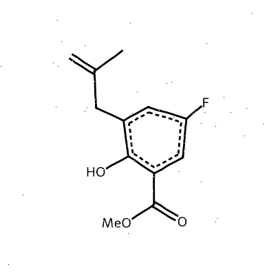 C=C(C)Cc1cc(F)cc(C(=O)OC)c1O